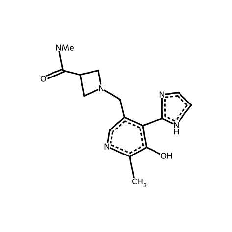 CNC(=O)C1CN(Cc2cnc(C)c(O)c2-c2ncc[nH]2)C1